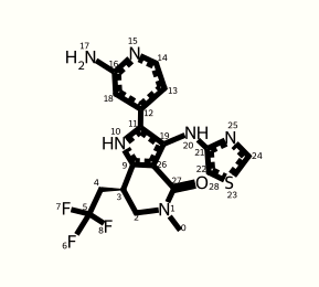 CN1C[C@@H](CC(F)(F)F)c2[nH]c(-c3ccnc(N)c3)c(Nc3cscn3)c2C1=O